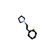 Fc1ccccc1C=CN1CCCC1